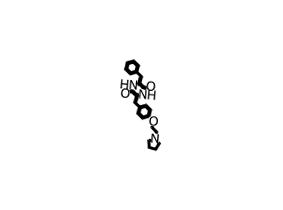 O=c1[nH]/c(=C\c2ccc(OCCN3CCCC3)cc2)c(=O)[nH]/c1=C\c1ccccc1